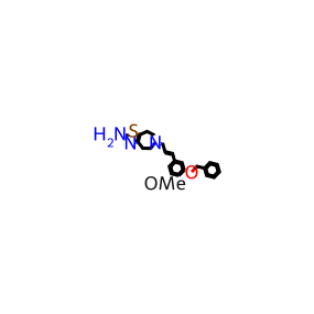 COc1ccc(/C=C/CN2CCc3nc(N)sc3CC2)cc1OCc1ccccc1